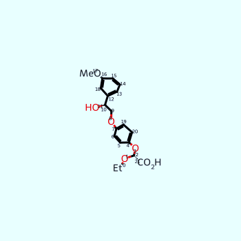 CCO[C@H](Oc1ccc(OC[C@@H](O)c2cccc(OC)c2)cc1)C(=O)O